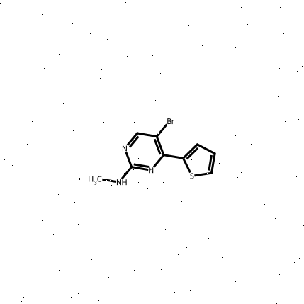 CNc1ncc(Br)c(-c2cccs2)n1